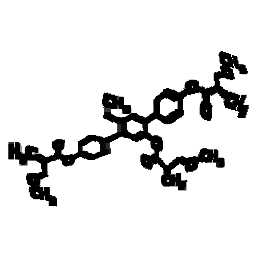 C=C(COC)C(=O)Oc1ccc(-c2cc(OC(=O)C(=C)COC)c(-c3ccc(OC(=O)C(=C)COC)cc3)cc2CC)cc1